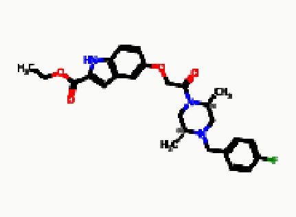 CCOC(=O)c1cc2cc(OCC(=O)N3C[C@@H](C)N(Cc4ccc(F)cc4)C[C@@H]3C)ccc2[nH]1